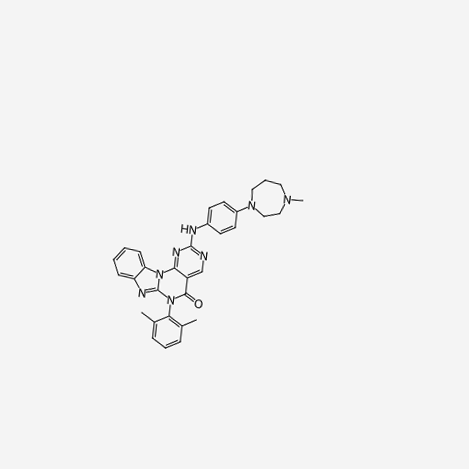 Cc1cccc(C)c1-n1c(=O)c2cnc(Nc3ccc(N4CCCN(C)CC4)cc3)nc2n2c3ccccc3nc12